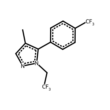 Cc1cnn(CC(F)(F)F)c1-c1ccc(C(F)(F)F)cc1